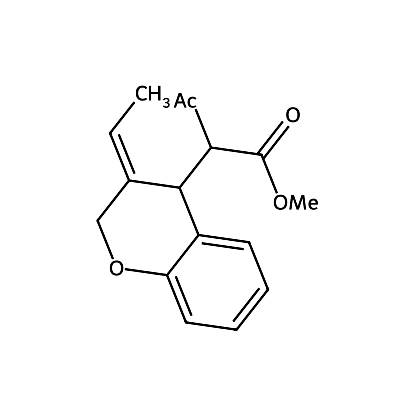 CC=C1COc2ccccc2C1C(C(C)=O)C(=O)OC